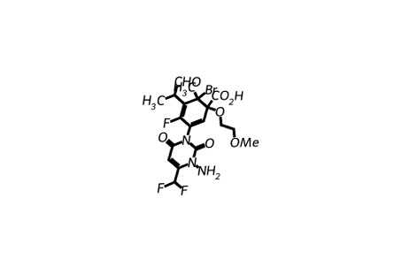 COCCOC1(C(=O)O)C=C(n2c(=O)cc(C(F)F)n(N)c2=O)C(F)=C(C(C)C=O)C1(C)Br